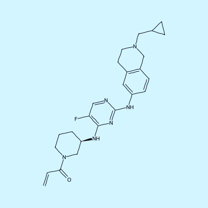 C=CC(=O)N1CCC[C@@H](Nc2nc(Nc3ccc4c(c3)CCN(CC3CC3)C4)ncc2F)C1